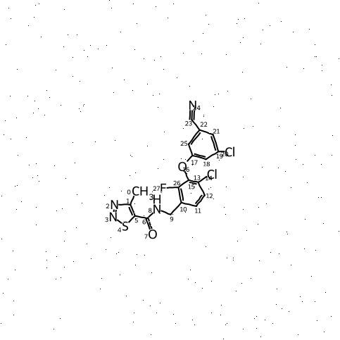 Cc1nnsc1C(=O)NCc1ccc(Cl)c(Oc2cc(Cl)cc(C#N)c2)c1F